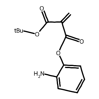 C=C(C(=O)Oc1ccccc1N)C(=O)OC(C)(C)C